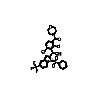 O=C(c1ccc(Cl)c(C(O)c2cc3cc(C(F)(F)F)ccc3n2S(=O)(=O)c2ccccc2)c1Cl)N1CCOCC1